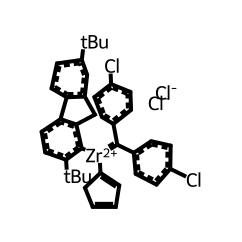 CC(C)(C)c1ccc2c(c1)Cc1c-2ccc(C(C)(C)C)[c]1[Zr+2]([C]1=CC=CC1)=[C](c1ccc(Cl)cc1)c1ccc(Cl)cc1.[Cl-].[Cl-]